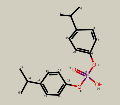 CC(C)c1ccc(OP(=O)(O)Oc2ccc(C(C)C)cc2)cc1